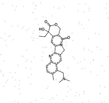 CCC1(O)C(=O)OCc2c1cc1n(c2=O)Cc2cc3c(CN(C)C)c(C)ccc3nc2-1